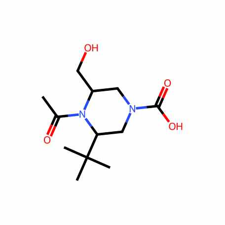 CC(=O)N1C(CO)CN(C(=O)O)CC1C(C)(C)C